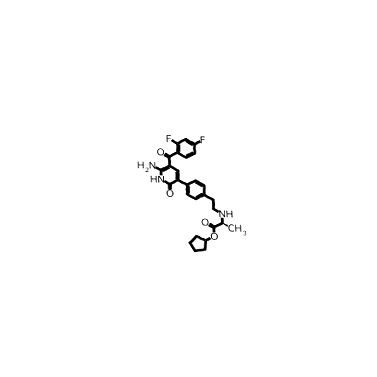 C[C@H](NCCc1ccc(-c2cc(C(=O)c3ccc(F)cc3F)c(N)[nH]c2=O)cc1)C(=O)OC1CCCC1